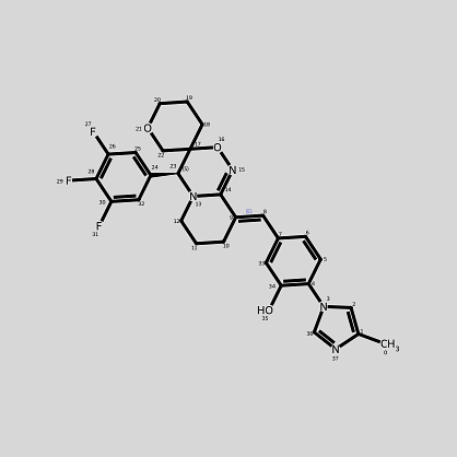 Cc1cn(-c2ccc(/C=C3\CCCN4C3=NOC3(CCCOC3)[C@@H]4c3cc(F)c(F)c(F)c3)cc2O)cn1